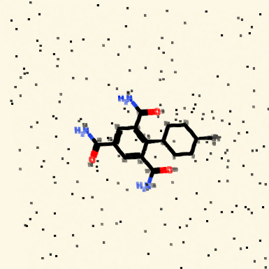 CC(C)[C@H]1CC[C@@H](c2c(C(N)=O)cc(C(N)=O)cc2C(N)=O)CC1